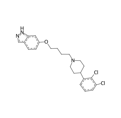 Clc1cccc(C2CCN(CCCCOc3ccc4cn[nH]c4c3)CC2)c1Cl